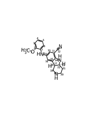 COc1ccccc1Nc1cc(C#N)c2c(c1)[C@@H]1CNCC[C@@H]1N2